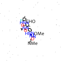 CNCCCOc1nc(Nc2cccc(-n3c(=C(C)C)/c(=C(/Nc4ccc(C)cc4F)N(C)C=O)c(=O)n(C4CC4)c3=O)c2)nc(OC)n1